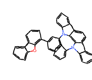 c1ccc(-n2c3ccccc3c3ccc4c5ccccc5n(-c5cccc(-c6cccc7c6oc6ccccc67)c5)c4c32)cc1